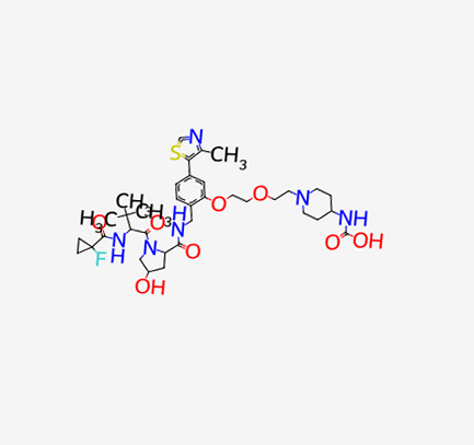 Cc1ncsc1-c1ccc(CNC(=O)C2CC(O)CN2C(=O)C(NC(=O)C2(F)CC2)C(C)(C)C)c(OCCOCCN2CCC(NC(=O)O)CC2)c1